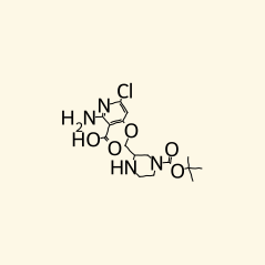 CC(C)(C)OC(=O)N1CCNC(COc2cc(Cl)nc(N)c2C(=O)O)C1